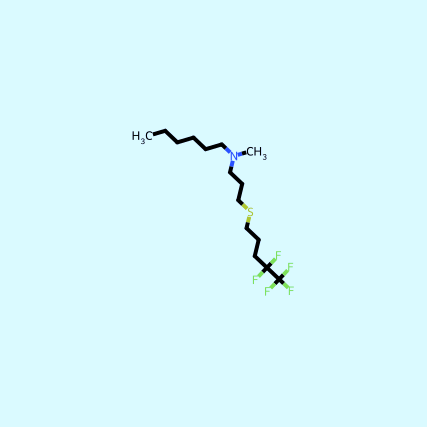 CCCCCCN(C)CCCSCCCC(F)(F)C(F)(F)F